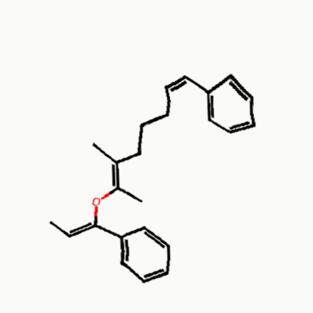 C/C=C(\O/C(C)=C(\C)CCC/C=C\c1ccccc1)c1ccccc1